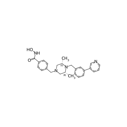 C[C@@H]1CN(Cc2ccc(C(=O)NO)cc2)C[C@H](C)N1Cc1cccc(-c2cccnc2)c1